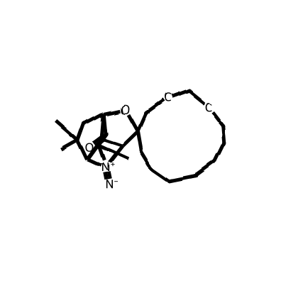 CC1(C)CC23CC(C)(C)C1[N+](=[N-])C(C2=O)C1(CCCCCCCCCCC1)O3